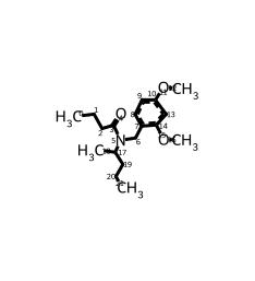 CCCC(=O)N(Cc1ccc(OC)cc1OC)C(C)CCC